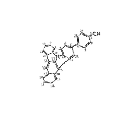 N#Cc1ccc(-c2cc3c4cccc5c6cc7ccccc7c7c(c2)c3n(c45)c67)cc1